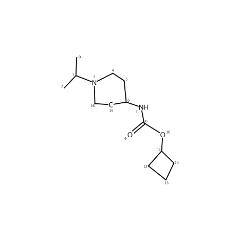 CC(C)N1CCC(NC(=O)OC2CCC2)CC1